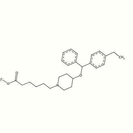 CCc1ccc(C(OC2CCN(CCCCCC(=O)OC)CC2)c2ccccc2)cc1